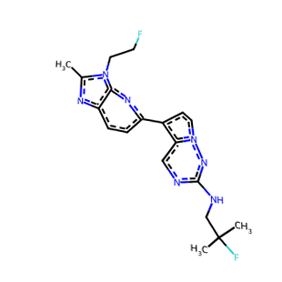 Cc1nc2ccc(-c3ccn4nc(NCC(C)(C)F)ncc34)nc2n1CCF